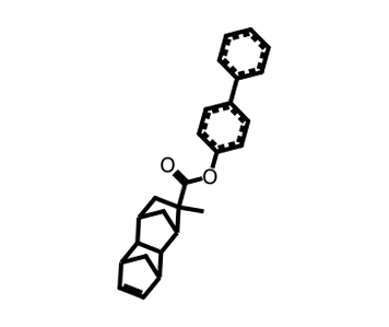 CC1(C(=O)Oc2ccc(-c3ccccc3)cc2)CC2CC1C1C3C=CC(C3)C21